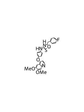 COc1cc2nccc(Oc3ccc(NC(=S)NC(=O)Cc4ccc(F)cc4)cc3)c2cc1OC